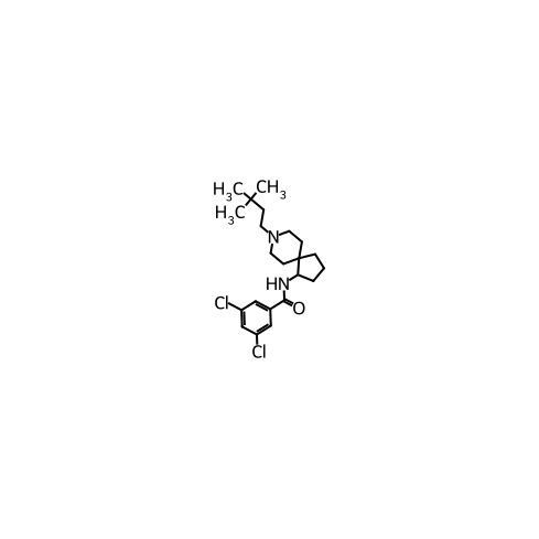 CC(C)(C)CCN1CCC2(CCCC2NC(=O)c2cc(Cl)cc(Cl)c2)CC1